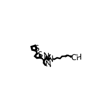 C#CCCCCCCn1cnc2c(-c3ccc(-c4cccs4)s3)ccnc21